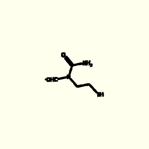 NC(=O)N([C]=O)CCS